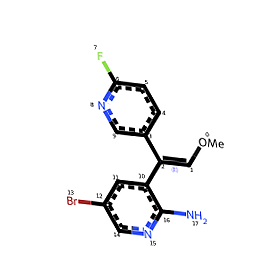 CO/C=C(\c1ccc(F)nc1)c1cc(Br)cnc1N